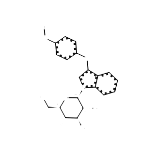 CC(C)Oc1ccc(Sc2cn([C@@H]3O[C@H](CO)[C@@H](O)[C@H](O)[C@H]3O)c3ccccc23)cc1